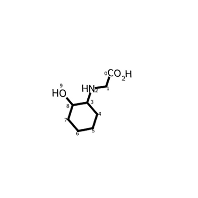 O=C(O)CNC1CCCCC1O